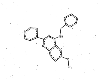 FC(F)(F)Oc1ccc2nc(-c3ccncc3)nc(NCc3ccccc3)c2c1